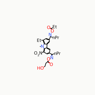 CCC/C(=N/OC(=O)CCO)c1cc([N+](=O)[O-])c2c(c1)c1cc(/C(CCC)=N/OC(=O)CC)cc(CC)c1n2C